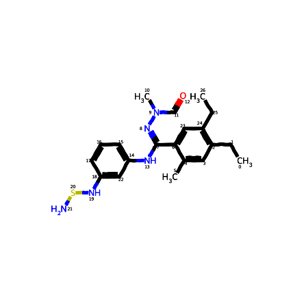 CCc1cc(C)c(/C(=N\N(C)C=O)Nc2cccc(NSN)c2)cc1CC